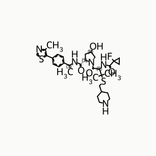 Cc1ncsc1-c1ccc([C@H](C)NC(=O)[C@@H]2C[C@@H](O)CN2C(=O)[C@@H](NC(=O)C2(F)CC2)C(C)(C)SCC2CCNCC2)cc1